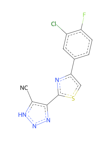 N#Cc1[nH]nnc1-c1nc(-c2ccc(F)c(Cl)c2)cs1